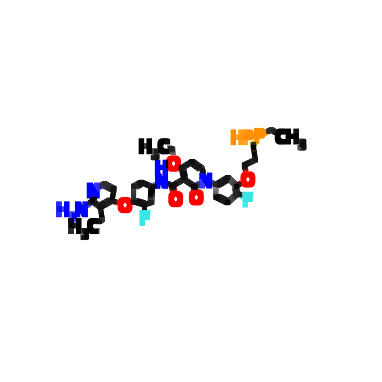 CCOc1ccn(-c2ccc(F)c(OCCC3PP3CC)c2)c(=O)c1C(=O)Nc1ccc(Oc2ccnc(N)c2CC)c(F)c1